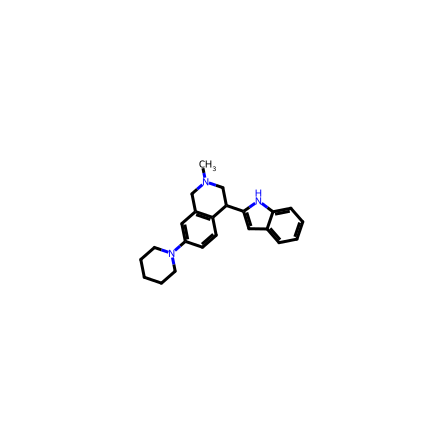 CN1Cc2cc(N3CCCCC3)ccc2C(c2cc3ccccc3[nH]2)C1